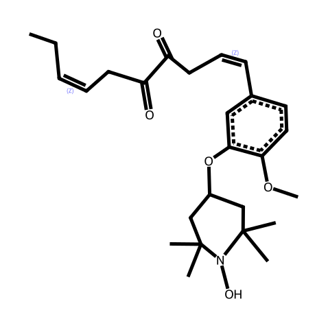 CC/C=C\CC(=O)C(=O)C/C=C\c1ccc(OC)c(OC2CC(C)(C)N(O)C(C)(C)C2)c1